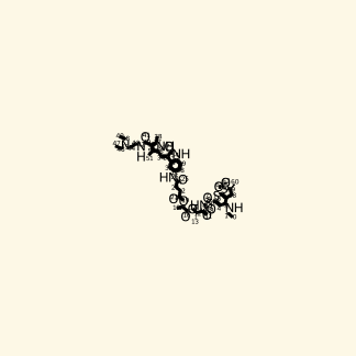 CCN[C@H]1C=C(S(=O)(=O)NC(=O)[C@H](C)OC(=O)C(C)OC(=O)CCC(=O)Nc2ccc3c(c2)/C(=C/c2[nH]c(C)c(C(=O)NCCN(CC)CC)c2C)C(=O)N3)SC2=C1C[C@H](C)S2(=O)=O